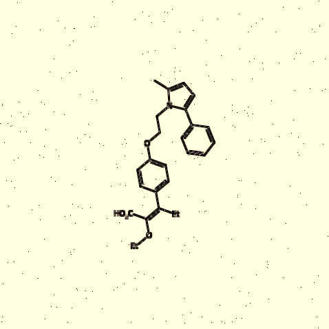 CCO/C(C(=O)O)=C(\CC)c1ccc(OCCn2c(C)ccc2-c2ccccc2)cc1